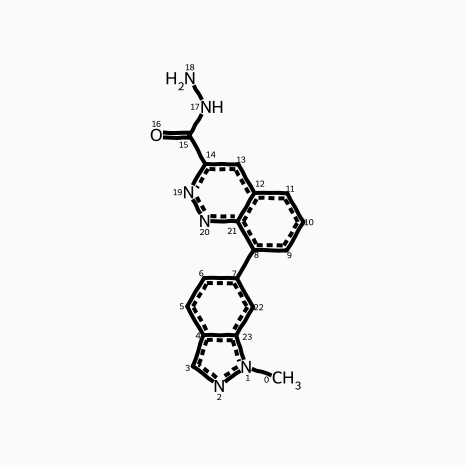 Cn1ncc2ccc(-c3cccc4cc(C(=O)NN)nnc34)cc21